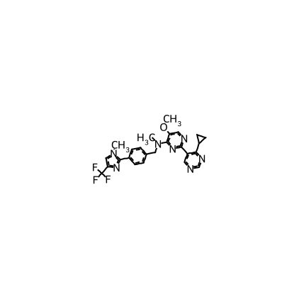 COc1cnc(-c2cncnc2C2CC2)nc1N(C)Cc1ccc(-c2nc(C(F)(F)F)cn2C)cc1